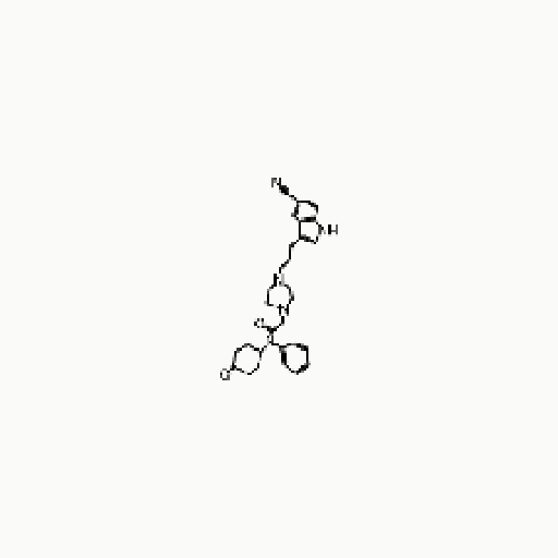 N#Cc1ccc2[nH]cc(CCCN3CCN(CC(=O)N(c4ccccc4)C4CCC(=O)CC4)CC3)c2c1